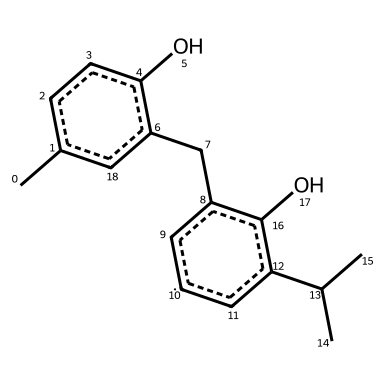 Cc1ccc(O)c(Cc2c[c]cc(C(C)C)c2O)c1